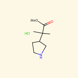 COC(=O)C(C)(C)C1CCNC1.Cl